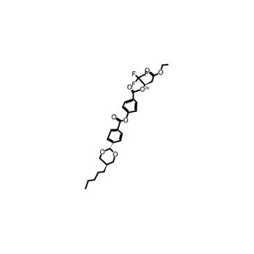 CCCCC[C@H]1CO[C@H](c2ccc(C(=O)Oc3ccc(C(=O)O[C@H](CC(=O)OCC)C(F)(F)F)cc3)cc2)OC1